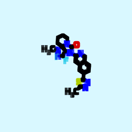 CNC1(CC(F)F)CCCCN1C(=O)Nc1cc2cc(-c3nnc(C)s3)ccc2cn1